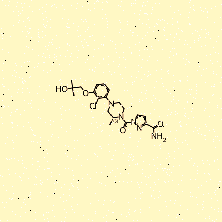 C[C@H]1CN(c2cccc(OCC(C)(C)O)c2Cl)CCN1C(=O)n1ccc(C(N)=O)n1